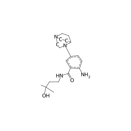 CC(C)(O)CCNC(=O)c1cc(N2CCN3CCC2CC3)ccc1N